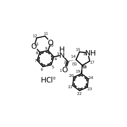 Cl.O=C(Nc1cccc2c1OCCO2)[C@@H]1CNC[C@H]1c1ccccc1